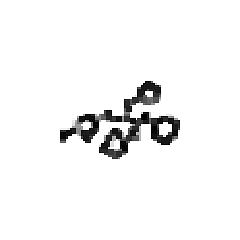 Fc1ccc(SC=C(Sc2ccccc2)/C(=N\c2ccccc2)Sc2ccccc2)cc1